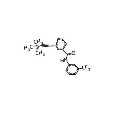 C[Si](C)(C)C#Cc1cccc(C(=O)Nc2cccc(C(F)(F)F)c2)c1